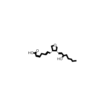 CCCCCC(O)/C=C/[C@H]1COC[C@H]1CC=CC/C=C\C(=O)O